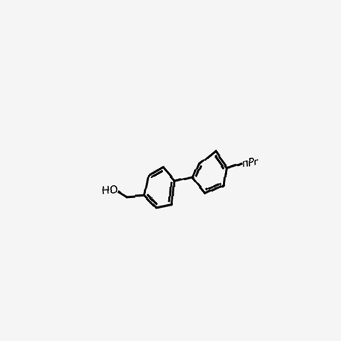 CCCc1ccc(-c2ccc(CO)cc2)cc1